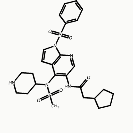 CS(=O)(=O)N(c1c(NC(=O)CC2CCCC2)cnc2c1ccn2S(=O)(=O)c1ccccc1)C1CCNCC1